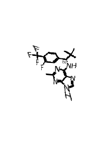 Cc1nc(N[C@H](c2ccc(C(F)(F)F)c(F)c2)C(C)(C)C)c2nc[nH]c2n1